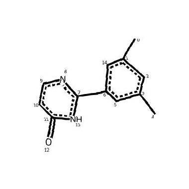 Cc1cc(C)cc(-c2nccc(=O)[nH]2)c1